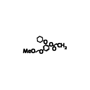 C=CC(=O)Oc1ccc(OCCOC)cc1OC1CCCCC1